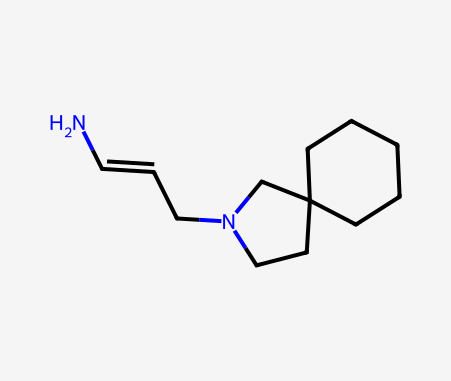 NC=CCN1CCC2(CCCCC2)C1